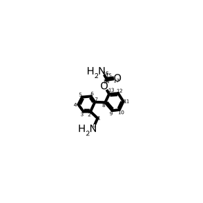 NCc1ccccc1-c1ccccc1OC(N)=O